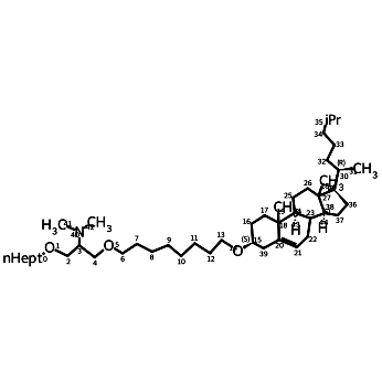 CCCCCCCOCC(COCCCCCCCCO[C@H]1CCC2(C)C(=CCC3[C@@H]2CCC2(C)[C@@H]([C@H](C)CCCC(C)C)CC[C@@H]32)C1)N(C)C